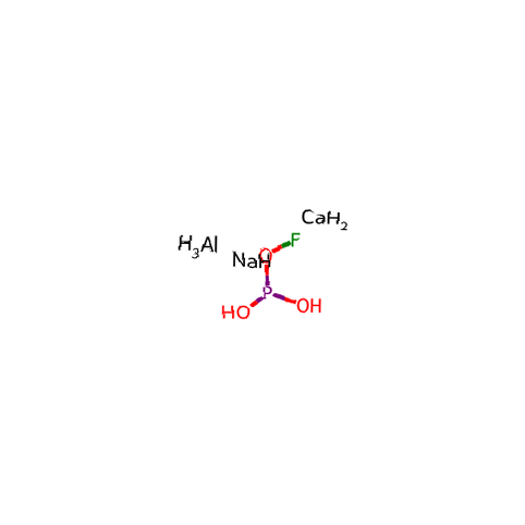 OP(O)OF.[AlH3].[CaH2].[NaH]